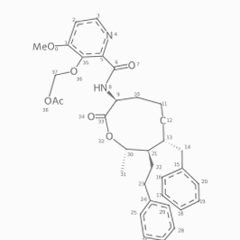 COc1ccnc(C(=O)N[C@H]2CCC[C@H](Cc3ccccc3)[C@@H](CCc3ccccc3)[C@H](C)OC2=O)c1OCOC(C)=O